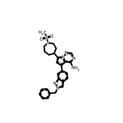 CS(=O)(=O)N1CCCC(c2cc(-c3ccc4cn(Cc5ccccc5)nc4c3)c3c(N)ncnn23)CC1